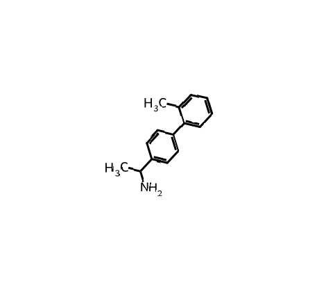 Cc1ccccc1-c1ccc(C(C)N)cc1